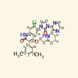 Cc1cc(C)cc(-c2c(OCCC3CCCCN3)c3cc(-n4ccn(-c5cnccn5)c4=O)c(Cl)cc3[nH]c2=O)c1